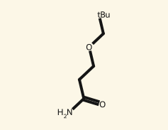 CC(C)(C)COCCC(N)=O